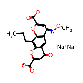 CCCc1c2oc(C(=O)[O-])cc(=O)c2cc2c(=NOC)cc(C(=O)[O-])oc12.[Na+].[Na+]